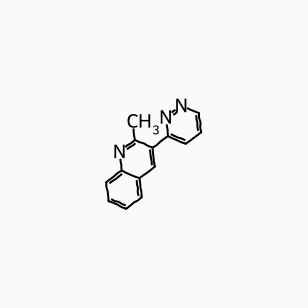 Cc1nc2ccccc2cc1-c1cccnn1